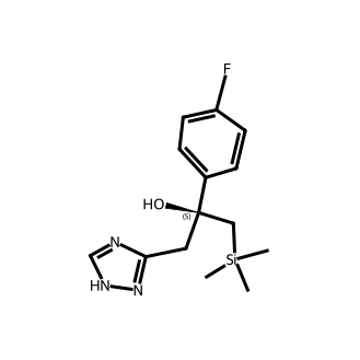 C[Si](C)(C)C[C@](O)(Cc1nc[nH]n1)c1ccc(F)cc1